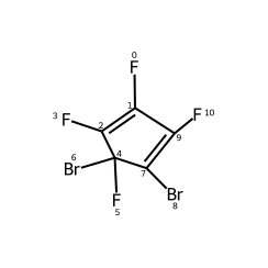 FC1=C(F)C(F)(Br)C(Br)=C1F